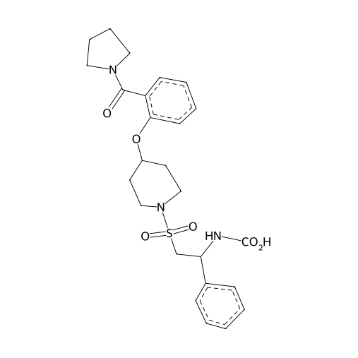 O=C(O)NC(CS(=O)(=O)N1CCC(Oc2ccccc2C(=O)N2CCCC2)CC1)c1ccccc1